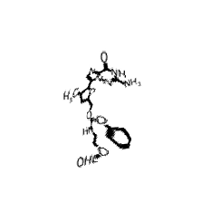 CC1CC(COP(NCCOC=O)Oc2ccccc2)OC1c1cnc2c(=O)[nH]c(N)nn12